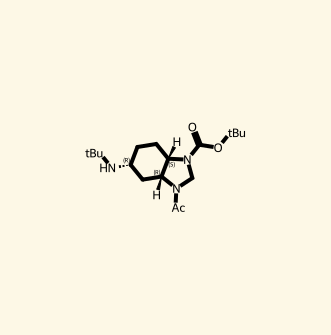 CC(=O)N1CN(C(=O)OC(C)(C)C)[C@H]2CC[C@@H](NC(C)(C)C)C[C@H]21